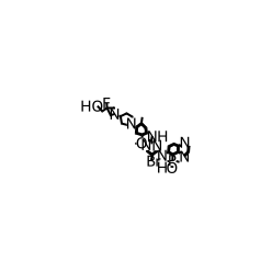 COc1cc(N2CCC(N3CC(F)(CO)C3)CC2)c(C)cc1Nc1ncc(Br)c(Nc2ccc3nccnc3c2P(C)(C)=O)n1